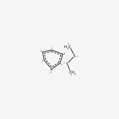 CSSC.b1ccccc1